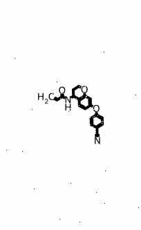 C=CC(=O)NC1CCOc2cc(Oc3ccc(C#N)cc3)ccc21